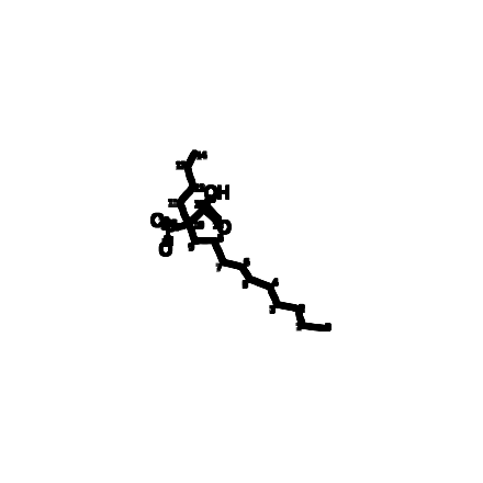 CCCCCCCCCCC(CCCC)(C(=O)O)P(=O)=O